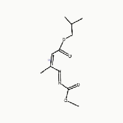 COC(=O)N=N/C(C)=C\C(=O)OCC(C)C